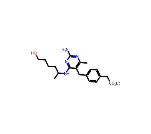 CCOC(=O)Cc1ccc(Cc2c(C)nc(N)nc2NC(C)CCCCO)cc1